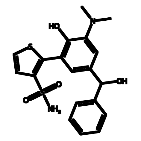 CN(C)c1cc(C(O)c2ccccc2)cc(-c2sccc2S(N)(=O)=O)c1O